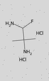 CC(C)(N)C(N)F.Cl.Cl